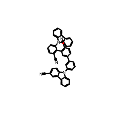 N#Cc1ccc2c(c1)c1ccccc1n2-c1cccc(-c2ccc(C#N)c(-c3c(C#N)cccc3-n3c4ccccc4c4ccccc43)c2)c1